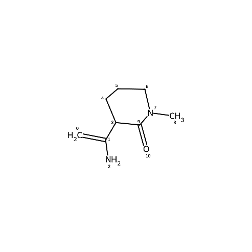 C=C(N)C1CCCN(C)C1=O